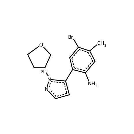 Cc1cc(N)c(-c2ccnn2[C@@H]2CCOC2)cc1Br